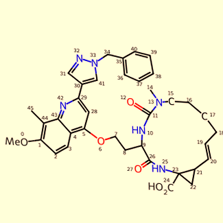 COc1ccc2c(OCCC3NC(=O)N(C)CCCC/C=C/C4CC4(C(=O)O)NC3=O)cc(-c3cnn(Cc4ccccc4)c3)nc2c1C